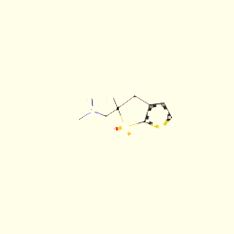 CN(C)CC1(C)Cc2ccsc2S1(=O)=O